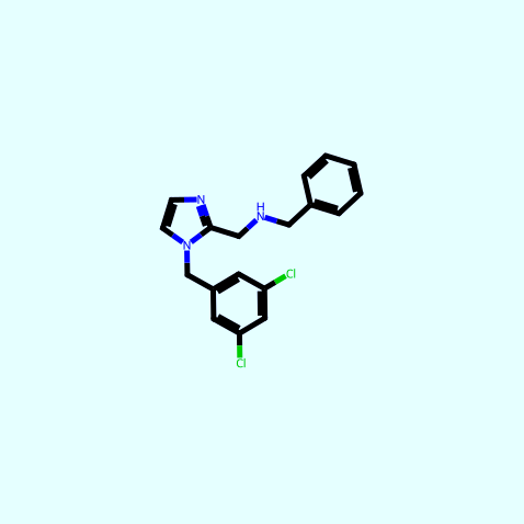 Clc1cc(Cl)cc(Cn2ccnc2CNCc2ccccc2)c1